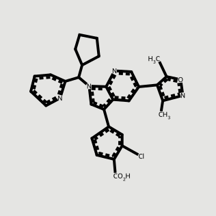 Cc1noc(C)c1-c1cnc2c(c1)c(-c1ccc(C(=O)O)c(Cl)c1)cn2C(c1ccccn1)C1CCCC1